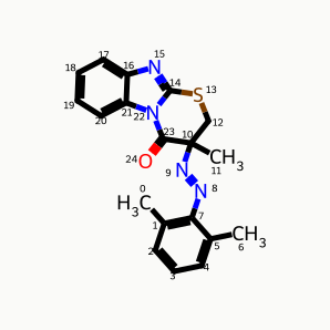 Cc1cccc(C)c1N=NC1(C)CSc2nc3ccccc3n2C1=O